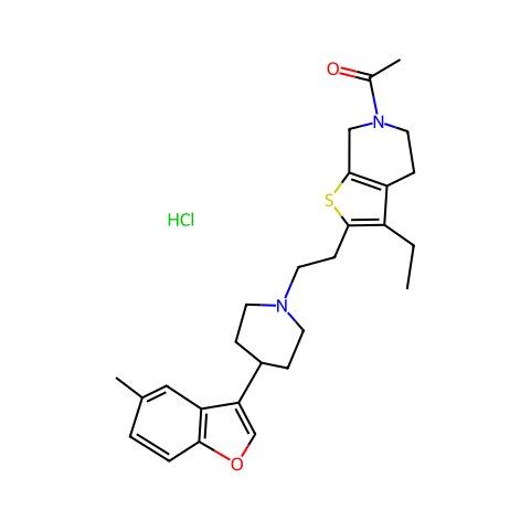 CCc1c(CCN2CCC(c3coc4ccc(C)cc34)CC2)sc2c1CCN(C(C)=O)C2.Cl